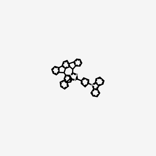 c1ccc(-c2nc(-c3ccc(-n4c5ccccc5c5ccccc54)cc3)nc(C3c4ccccc4-c4ccc5c(c43)C(c3ccccc3)c3ccccc3-5)n2)cc1